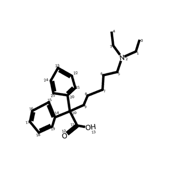 CCN(CC)CCCCCC(C(=O)O)(c1ccccc1)c1ccccc1